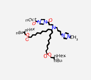 CCCCCCCCC(=O)N1CCN(C(=O)CCN(CCCCN2CCN(C)CC2)C(CCCCCCCCC(=O)OCC(CCCC)CCCCCC)CCCCCCCCC(=O)OCC(CCCC)CCCCCC)CC1